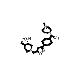 CN1CCN(C(=N)c2ccc(C3=NOC(CN4CCC(CC(=O)O)CC4)C3)cc2)CC1